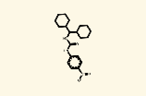 O=C(Nc1ccc([N+](=O)[O-])cc1)NC(C1CCCCC1)C1CCCCC1